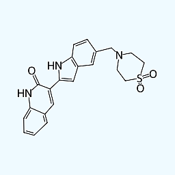 O=c1[nH]c2ccccc2cc1-c1cc2cc(CN3CCS(=O)(=O)CC3)ccc2[nH]1